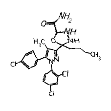 CCCCC1(c2nn(-c3ccc(Cl)cc3Cl)c(-c3ccc(Cl)cc3)c2C)NNC(C(N)=O)O1